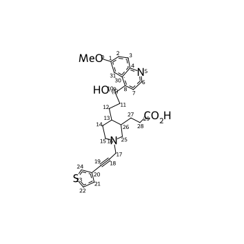 COc1ccc2nccc([C@@H](O)CCC3CCN(CC#Cc4ccsc4)CC3CCC(=O)O)c2c1